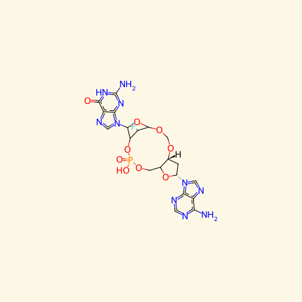 Nc1nc2c(ncn2C2OC3OCO[C@@H]4C[C@H](n5cnc6c(N)ncnc65)OC4COP(=O)(O)OC2C3F)c(=O)[nH]1